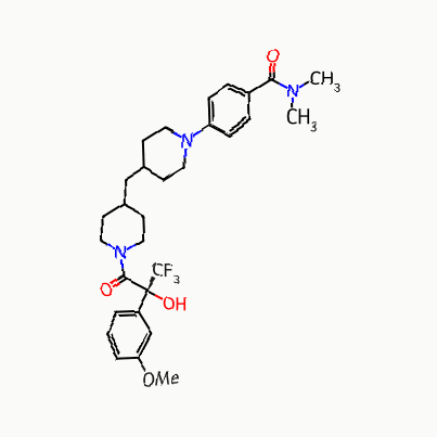 COc1cccc([C@@](O)(C(=O)N2CCC(CC3CCN(c4ccc(C(=O)N(C)C)cc4)CC3)CC2)C(F)(F)F)c1